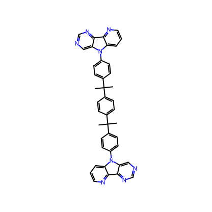 CC(C)(c1ccc(-n2c3cccnc3c3ncncc32)cc1)c1ccc(C(C)(C)c2ccc(-n3c4cccnc4c4ncncc43)cc2)cc1